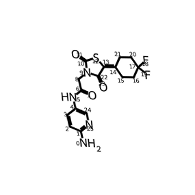 Nc1ccc(NC(=O)CN2C(=O)SC(=C3CCC(F)(F)CC3)C2=O)cn1